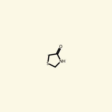 O=C1[CH]SCN1